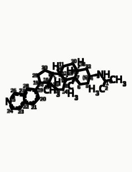 CC(C)N[C@H]1CC[C@@]2(C)[C@@H](CC[C@@H]3[C@@H]2CC[C@]2(C)[C@@H](c4ccc5ccncc5c4)CC[C@@H]32)C1